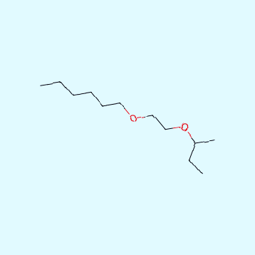 CCCCCCOCCOC(C)CC